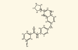 O=C(Nc1ccc(Oc2ccc3ncc(N4CCCC4)nc3c2)cc1)c1cccc(F)c1